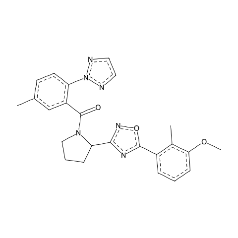 COc1cccc(-c2nc(C3CCCN3C(=O)c3cc(C)ccc3-n3nccn3)no2)c1C